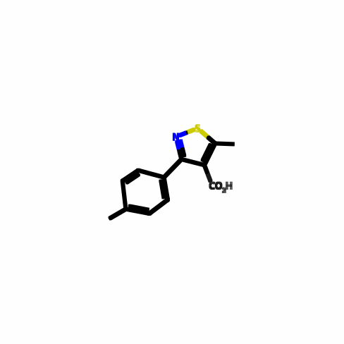 Cc1ccc(-c2nsc(C)c2C(=O)O)cc1